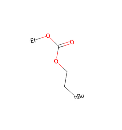 C[CH]OC(=O)OCCCCCC